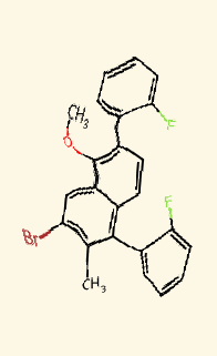 COc1c(-c2ccccc2F)ccc2c(-c3ccccc3F)c(C)c(Br)cc12